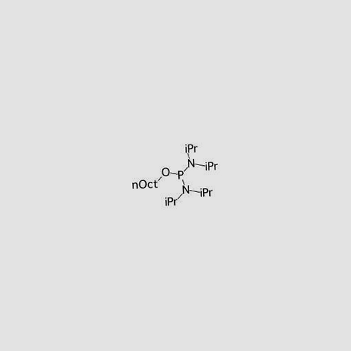 CCCCCCCCOP(N(C(C)C)C(C)C)N(C(C)C)C(C)C